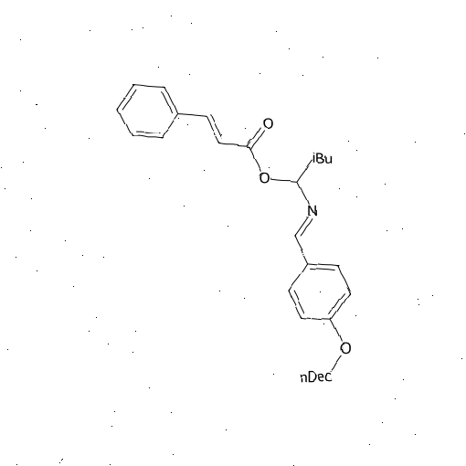 CCCCCCCCCCOc1ccc(C=NC(OC(=O)C=Cc2ccccc2)C(C)CC)cc1